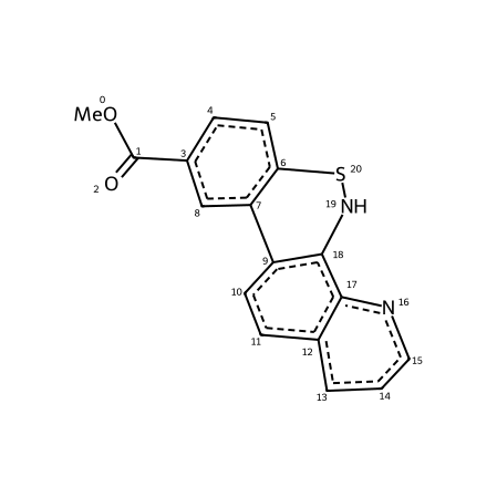 COC(=O)c1ccc2c(c1)-c1ccc3cccnc3c1NS2